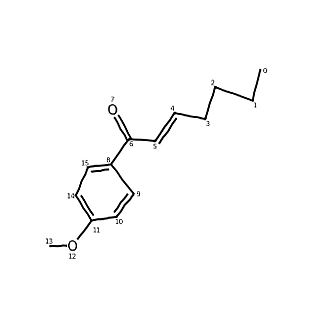 CCCC/C=C/C(=O)c1ccc(OC)cc1